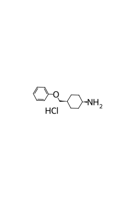 Cl.N[C@H]1CC[C@@H](COc2ccccc2)CC1